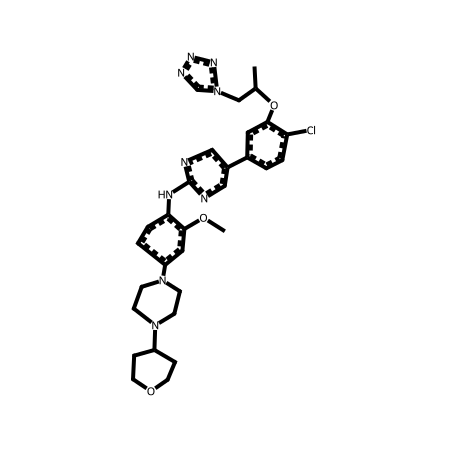 COc1cc(N2CCN(C3CCOCC3)CC2)ccc1Nc1ncc(-c2ccc(Cl)c(OC(C)Cn3cnnn3)c2)cn1